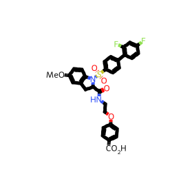 COc1ccc2c(c1)CC(C(=O)NCCOc1ccc(C(=O)O)cc1)N2S(=O)(=O)c1ccc(-c2ccc(F)cc2F)cc1